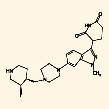 Cn1nc(C2CCC(=O)NC2=O)c2ccc(N3CCN(C[C@@H]4CCNC[C@@H]4F)CC3)cc21